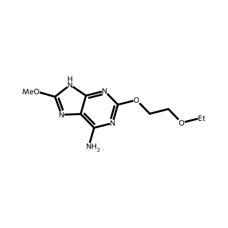 CCOCCOc1nc(N)c2nc(OC)[nH]c2n1